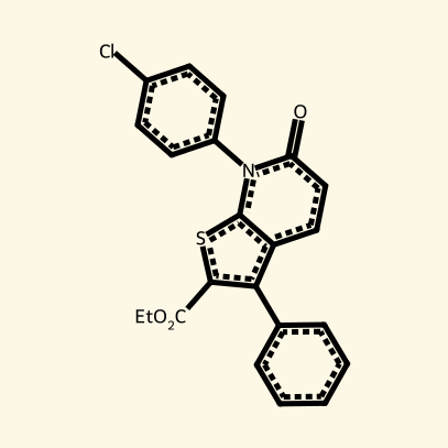 CCOC(=O)c1sc2c(ccc(=O)n2-c2ccc(Cl)cc2)c1-c1ccccc1